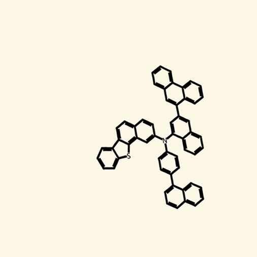 c1ccc2c(-c3ccc(N(c4ccc5ccc6c7ccccc7sc6c5c4)c4cc(-c5cc6ccccc6c6ccccc56)cc5ccccc45)cc3)cccc2c1